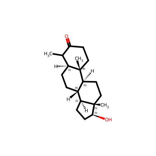 CC1C(=O)CC[C@@]2(C)[C@H]1CC[C@@H]1[C@@H]2CC[C@]2(C)[C@@H](O)CC[C@@H]12